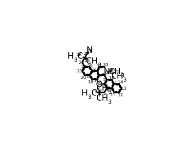 Cc1c2c(c(CC(C)(C)C)c3ccccc13)Oc1cc3ccc(CC(C)(C)C#N)cc3c3cc[n+](C)c-2c13